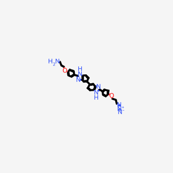 [N-]=[N+]=NCCCOc1ccc(-c2nc3cc(-c4ccc5[nH]c(-c6ccc(OCCCN)cc6)nc5c4)ccc3[nH]2)cc1